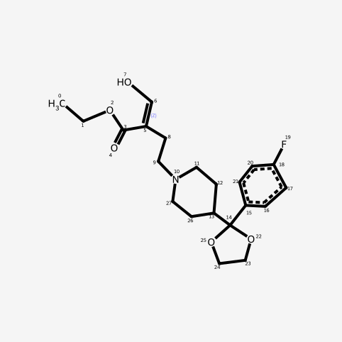 CCOC(=O)/C(=C\O)CCN1CCC(C2(c3ccc(F)cc3)OCCO2)CC1